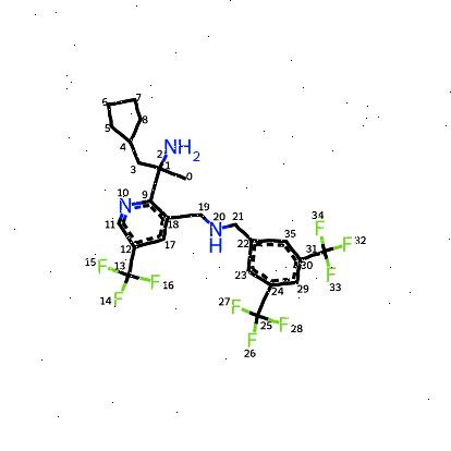 CC(N)(CC1CCCC1)c1ncc(C(F)(F)F)cc1CNCc1cc(C(F)(F)F)cc(C(F)(F)F)c1